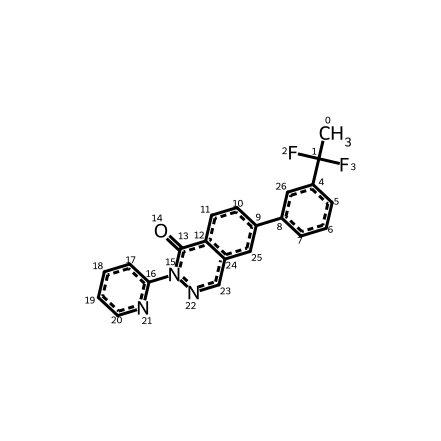 CC(F)(F)c1cccc(-c2ccc3c(=O)n(-c4ccccn4)ncc3c2)c1